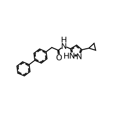 O=C(Cc1ccc(-c2ccccc2)cc1)Nc1cc(C2CC2)n[nH]1